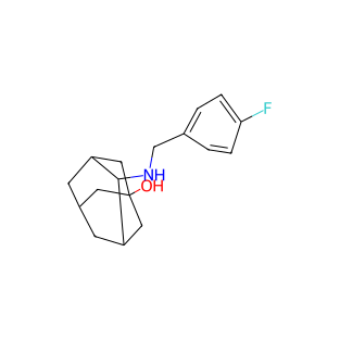 OC12CC3CC(C1)C(NCc1ccc(F)cc1)C(C3)C2